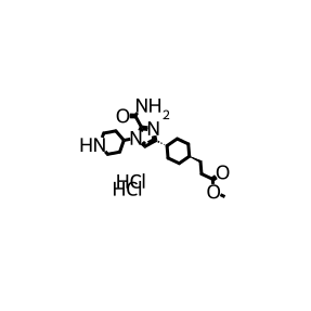 COC(=O)CC[C@H]1CC[C@H](c2cn(C3CCNCC3)c(C(N)=O)n2)CC1.Cl.Cl